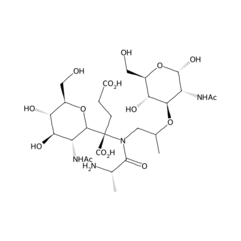 CC(=O)N[C@@H]1[C@@H](OC(C)CN(C(=O)[C@H](C)N)[C@](CCC(=O)O)(C(=O)O)C2O[C@H](CO)[C@@H](O)[C@H](O)[C@H]2NC(C)=O)[C@H](O)[C@@H](CO)O[C@@H]1O